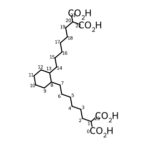 O=C(O)C(CCCCCCC1CCCCC1CCCCCCC(C(=O)O)C(=O)O)C(=O)O